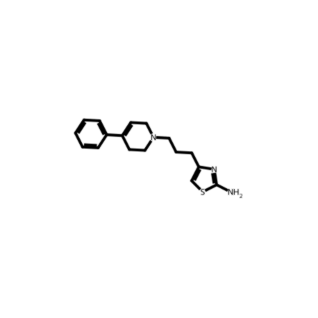 Nc1nc(CCCN2CC=C(c3ccccc3)CC2)cs1